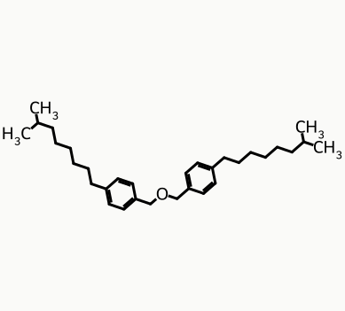 CC(C)CCCCCCc1ccc(COCc2ccc(CCCCCCC(C)C)cc2)cc1